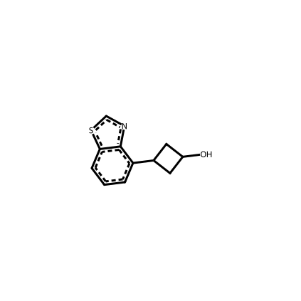 OC1CC(c2cccc3scnc23)C1